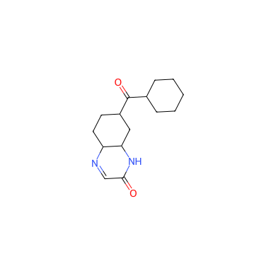 O=C1C=NC2CCC(C(=O)C3CCCCC3)CC2N1